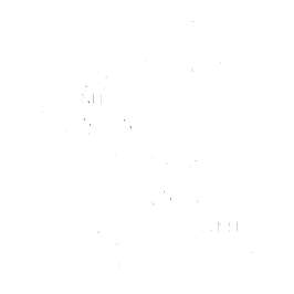 CC(C)NC(=O)c1csc(C2CN(C(=O)OCc3ccccc3)C(N3C=CCN3)C(=O)C2c2ccc(F)cc2)n1